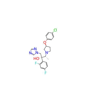 C[C@@H](N1CC[C@H](Oc2ccc(Cl)cc2)C1)[C@](O)(Cn1cncn1)c1ccc(F)cc1F